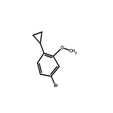 COc1cc(Br)ccc1C1CC1